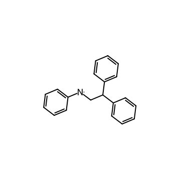 c1ccc([N]CC(c2ccccc2)c2ccccc2)cc1